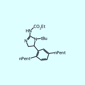 CCCCCc1ccc(CCCCC)c(C2CN=C(NC(=O)OCC)N2C(C)(C)C)c1